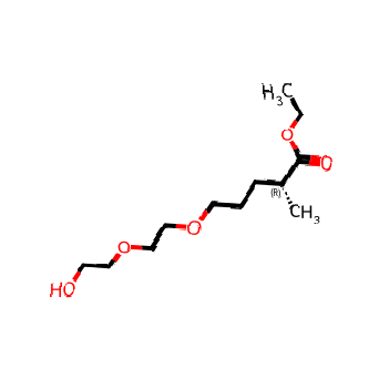 CCOC(=O)[C@H](C)CCCOCCOCCO